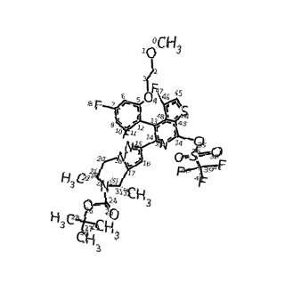 COCCOc1cc(F)cc(F)c1-c1c(-c2cc3n(n2)C[C@@H](C)N(C(=O)OC(C)(C)C)[C@H]3C)nc(OS(=O)(=O)C(F)(F)F)c2scc(F)c12